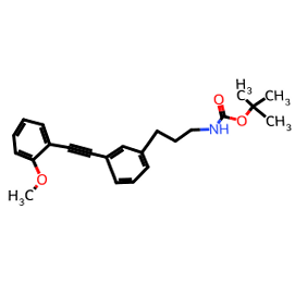 COc1ccccc1C#Cc1cccc(CCCNC(=O)OC(C)(C)C)c1